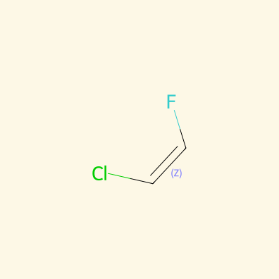 F/C=C\Cl